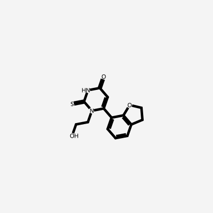 O=c1cc(-c2cccc3c2OCC3)n(CCO)c(=S)[nH]1